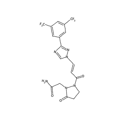 NC(=O)CN1C(=O)CCN1C(=O)C=Cn1cnc(-c2cc(C(F)(F)F)cc(C(F)(F)F)c2)n1